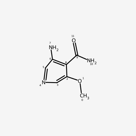 COc1cncc(N)c1C(N)=O